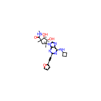 CNC(=O)C1(C)C[C@@](C)(n2cnc3c(NC4CCC4)nc(C#Cc4ccco4)nc32)[C@H](O)[C@@H]1O